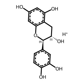 Oc1cc(O)c2c(c1)O[C@H](c1ccc(O)c(O)c1)[C@@H](O)C2.[H+]